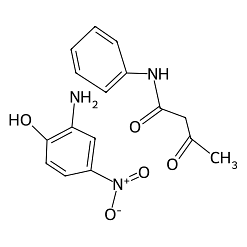 CC(=O)CC(=O)Nc1ccccc1.Nc1cc([N+](=O)[O-])ccc1O